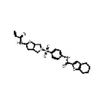 C=CC(=O)NC1CC2CN(S(=O)(=O)c3ccc(NC(=O)c4cc5c(s4)CCCC5)cc3)CC2S1